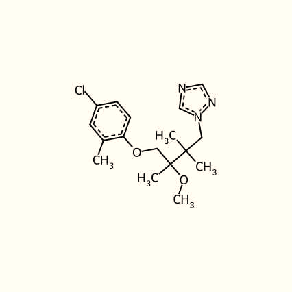 COC(C)(COc1ccc(Cl)cc1C)C(C)(C)Cn1cncn1